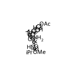 C=C(C)[C@@H]1CC[C@]2(C(=O)N(N)[C@@H]3C[C@H](C(=O)N[C@@H](CC(C)C)C(=O)OC)C3(C)C)CC[C@]3(C)[C@H](CC[C@@H]4[C@@]5(C)CCC(OC(C)=O)C(C)(C)[C@@H]5CC[C@]43C)[C@@H]12